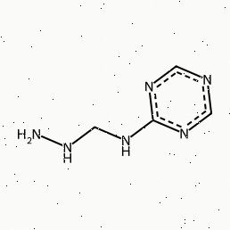 NNCNc1ncncn1